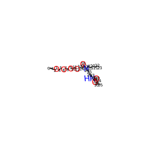 C#CCOCCOCCOCCOCCC(=O)N(CCCCCC)CCCCNC(=O)OC(C)(C)C